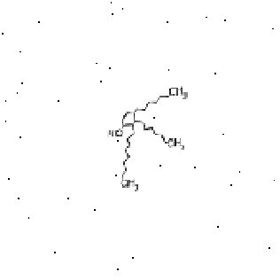 CCCCCCCCCc1c(O)ccc(CCCCCCC)c1CCCCCCC